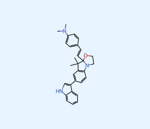 CN(C)c1ccc(C=CC23OCCN2c2ccc(-c4c[nH]c5ccccc45)cc2C3(C)C)cc1